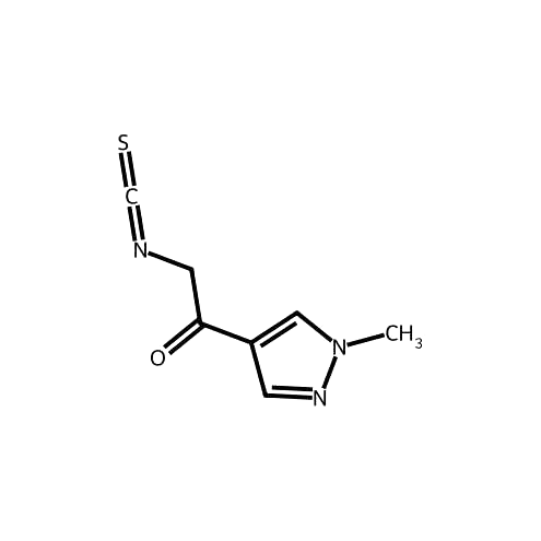 Cn1cc(C(=O)CN=C=S)cn1